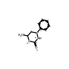 CC1CN(c2ccccc2)NC(=O)O1